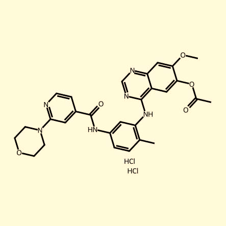 COc1cc2ncnc(Nc3cc(NC(=O)c4ccnc(N5CCOCC5)c4)ccc3C)c2cc1OC(C)=O.Cl.Cl